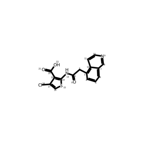 O=C(Cc1cccc2cnccc12)Nc1scc(Cl)c1C(=O)O